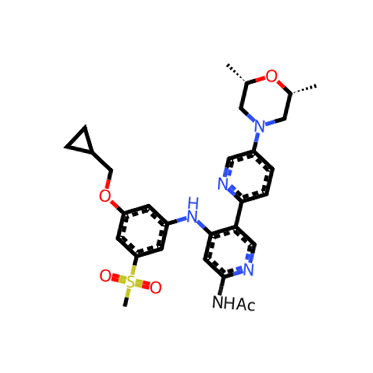 CC(=O)Nc1cc(Nc2cc(OCC3CC3)cc(S(C)(=O)=O)c2)c(-c2ccc(N3C[C@@H](C)O[C@@H](C)C3)cn2)cn1